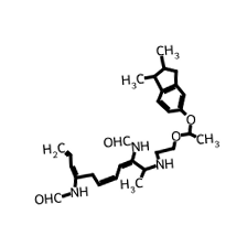 C=C/C=C(\C/C=C\C=C(\NC=O)C(C)NCCOC(C)Oc1ccc2c(c1)CC(C)C2C)NC=O